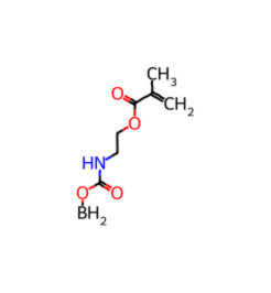 BOC(=O)NCCOC(=O)C(=C)C